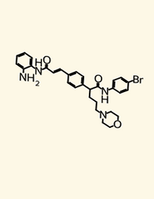 Nc1ccccc1NC(=O)/C=C/c1ccc(C(CCCN2CCOCC2)C(=O)Nc2ccc(Br)cc2)cc1